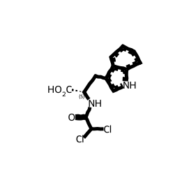 O=C(N[C@@H](Cc1c[nH]c2ccccc12)C(=O)O)C(Cl)Cl